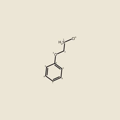 Cl[SiH2]COc1ccccc1